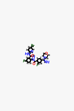 N=C(c1ccc(C(=O)Nc2ccc(F)cc2C(=O)Nc2ccc(Br)cn2)c(F)c1)N1CCOCC1